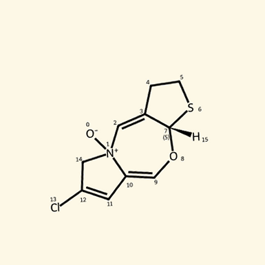 [O-][N+]12C=C3CCS[C@@H]3OC=C1C=C(Cl)C2